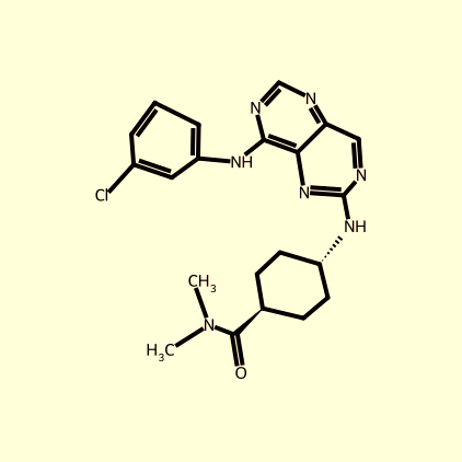 CN(C)C(=O)[C@H]1CC[C@H](Nc2ncc3ncnc(Nc4cccc(Cl)c4)c3n2)CC1